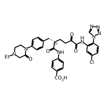 CCN1CCN(c2ccc(C[C@H](CCC(=O)C(=O)Nc3cc(Cl)ccc3-n3cnnn3)C(=O)Nc3ccc(C(=O)O)cc3)cc2)C(=O)C1